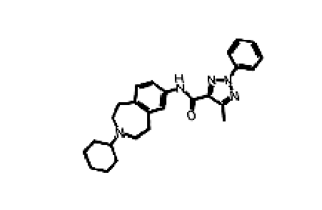 Cc1nn(-c2ccccc2)nc1C(=O)Nc1ccc2c(c1)CCN(C1CCCCC1)CC2